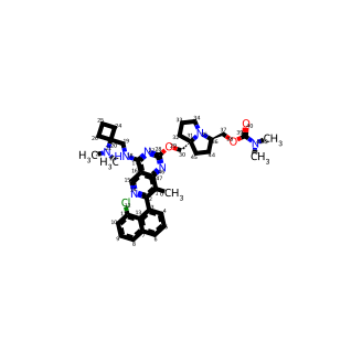 Cc1c(-c2cccc3cccc(Cl)c23)ncc2c(NCC3(N(C)C)CCC3)nc(OC[C@]34CCCN3[C@@H](COC(=O)N(C)C)CC4)nc12